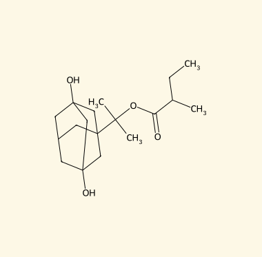 CCC(C)C(=O)OC(C)(C)C12CC3CC(O)(CC(O)(C3)C1)C2